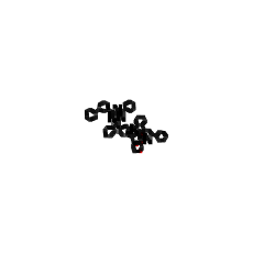 C1=Cc2c(n(-c3ccccc3-c3cc(-c4ccccc4)nc(-c4ccccc4)n3)c3cc4c(cc23)c2ccccc2n4-c2nc(-c3ccccc3)nc(-c3cccc(-c4ccccc4)c3)n2)CC1